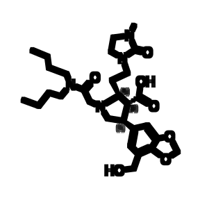 CCCCN(CCCC)C(=O)CN1C[C@H](c2cc(CO)c3c(c2)OCO3)[C@@H](C(=O)O)[C@@H]1CCN1CCN(C)C1=O